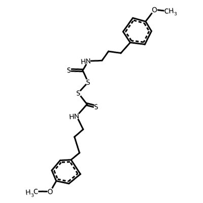 COc1ccc(CCCNC(=S)SSC(=S)NCCCc2ccc(OC)cc2)cc1